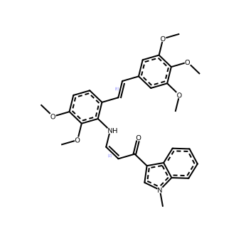 COc1cc(/C=C/c2ccc(OC)c(OC)c2N/C=C\C(=O)c2cn(C)c3ccccc23)cc(OC)c1OC